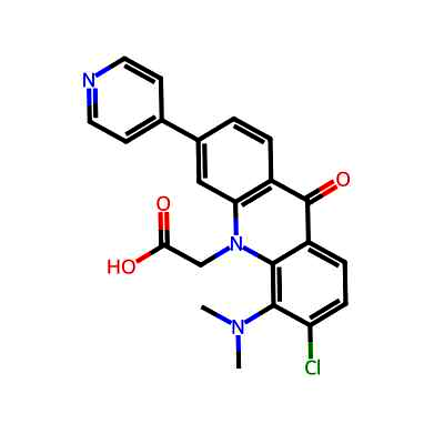 CN(C)c1c(Cl)ccc2c(=O)c3ccc(-c4ccncc4)cc3n(CC(=O)O)c12